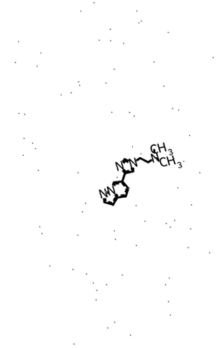 CN(C)CCn1cnc(-c2ccc3ccnn3c2)c1